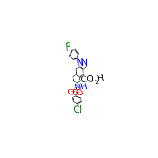 O=C(O)[C@]12Cc3cnn(-c4ccc(F)cc4)c3C=C1CC[C@H](NCS(=O)(=O)c1ccc(Cl)cc1)C2